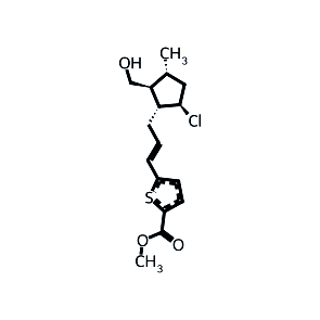 COC(=O)c1ccc(C=CC[C@@H]2[C@@H](CO)[C@H](C)C[C@H]2Cl)s1